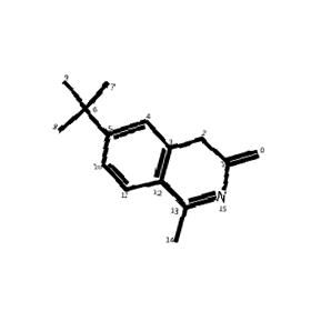 C=C1Cc2cc(C(C)(C)C)ccc2C(C)=N1